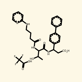 CC(O)C(NC(=O)CCCNc1ccccn1)C(=O)NC(CC(=O)O)c1ccc(-c2ccccc2)cc1.O=C(O)C(F)(F)F